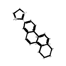 C1=NCCO1.c1ccc2c(c1)ccc1c3c(ccc12)CCCC3